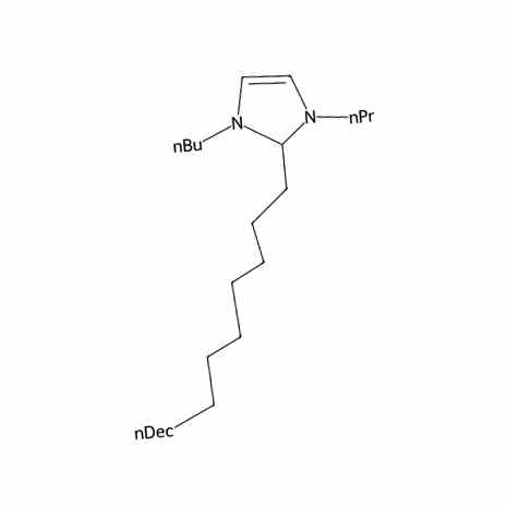 CCCCCCCCCCCCCCCCCC1N(CCC)C=CN1CCCC